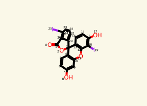 O=C1OC2(c3ccc(O)cc3Oc3c2ccc(O)c3I)c2cccc(I)c21